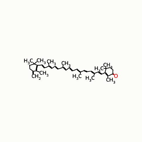 C=C1CCC(C)(C)C(/C=C/C(C)=C/C=C/C(C)=C/C=C/C=C(C)/C=C/C=C(C)/C=C/C2=C(C)C(=O)CCC2(C)C)=C1C